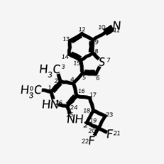 CC1=C(C)C(c2csc3c(C#N)cccc23)C(CC2CC(F)(F)C2)=C(N)N1